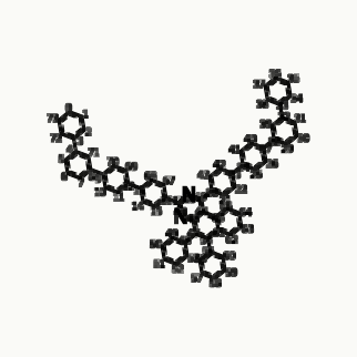 c1ccc(-c2cccc(-c3ccc(-c4ccc(-c5nc(-c6ccc(-c7ccc(-c8cccc(-c9ccccc9)c8)cc7)cc6)c6c(n5)c(-c5ccccc5)c(-c5ccccc5)c5ccccc56)cc4)cc3)c2)cc1